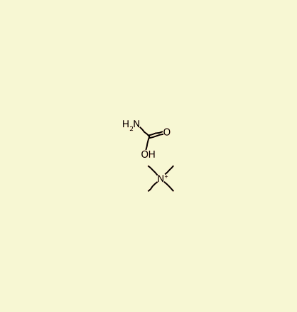 C[N+](C)(C)C.NC(=O)O